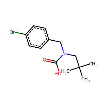 CC(C)(C)CN(Cc1ccc(Br)cc1)C(=O)O